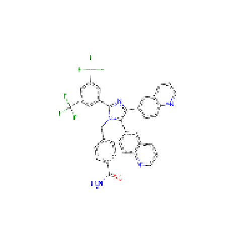 NC(=O)c1ccc(Cn2c(-c3cc(C(F)(F)F)cc(C(F)(F)F)c3)nc(-c3ccc4ncccc4c3)c2-c2ccc3ncccc3c2)cc1